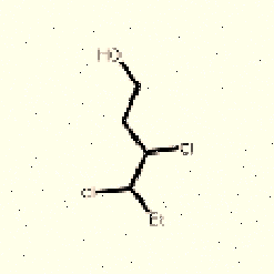 [CH2]CC(Cl)C(Cl)CCO